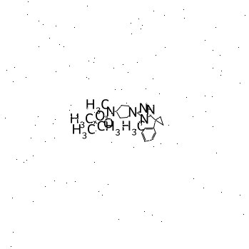 CN(C(=O)OC(C)(C)C)C1CCN(c2nnc(C3(c4ccccc4)CC3)n2C)CC1